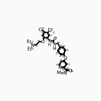 CCN(CC)CCOc1cc(Cl)c(C(F)(F)F)cc1NC(=O)NCc1ccc(Oc2ccnc(C(=O)NC)c2)cc1